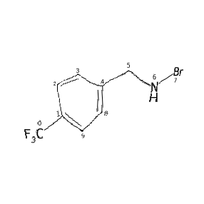 FC(F)(F)c1ccc(CNBr)cc1